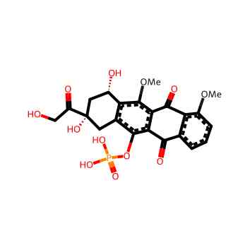 COc1cccc2c1C(=O)c1c(OC)c3c(c(OP(=O)(O)O)c1C2=O)C[C@@](O)(C(=O)CO)C[C@@H]3O